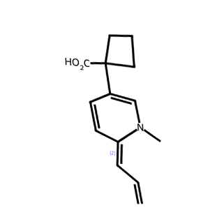 C=C/C=C1/C=CC(C2(C(=O)O)CCC2)=CN1C